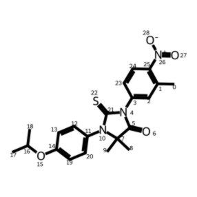 Cc1cc(N2C(=O)C(C)(C)N(c3ccc(OC(C)C)cc3)C2=S)ccc1[N+](=O)[O-]